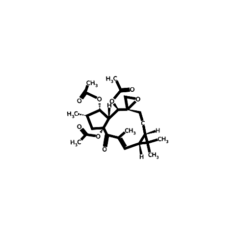 CC(=O)O[C@@H]1[C@@H]2[C@@H](OC(C)=O)[C@]3(CC[C@H]4[C@@H](/C=C(\C)C(=O)[C@@]2(OC(C)=O)C[C@@H]1C)C4(C)C)CO3